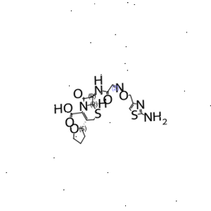 Nc1nc(CO/N=C\C(=O)N[C@@H]2C(=O)N3C(C(=O)O)=C([C@@H]4CCCO4)CS[C@H]23)cs1